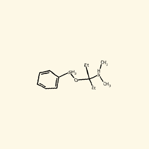 CCC(CC)(O[SiH2]c1ccccc1)[SiH](C)C